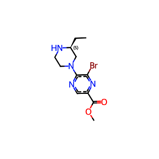 CC[C@H]1CN(c2ncc(C(=O)OC)nc2Br)CCN1